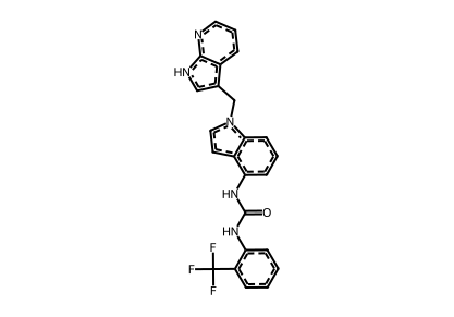 O=C(Nc1ccccc1C(F)(F)F)Nc1cccc2c1ccn2Cc1c[nH]c2ncccc12